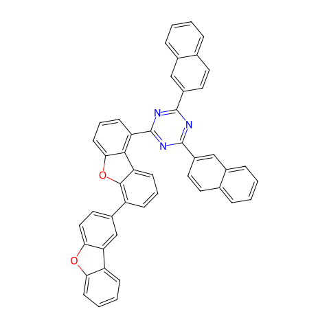 c1ccc2cc(-c3nc(-c4ccc5ccccc5c4)nc(-c4cccc5oc6c(-c7ccc8oc9ccccc9c8c7)cccc6c45)n3)ccc2c1